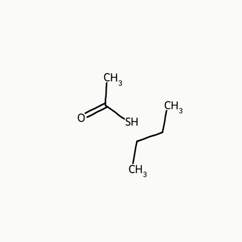 CC(=O)S.CCCC